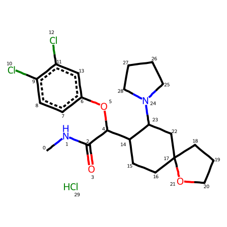 CNC(=O)C(Oc1ccc(Cl)c(Cl)c1)C1CCC2(CCCO2)CC1N1CCCC1.Cl